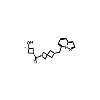 C[C@]1(O)C[C@@H](C(=O)N2CC3(CC(Cc4cccc5ccnn45)C3)C2)C1